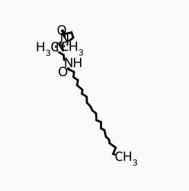 CCCCCCCCCCCCCCCCCCCCCC(=O)NCCC[N+](C)(C)CN1CCCC1=O